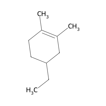 CCC1CCC(C)=C(C)C1